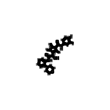 Cc1cc(NC(=O)c2c(C)c(C(O)C(=O)Nc3ccccc3N3CCOCC3)n(C)c2C)ccc1F